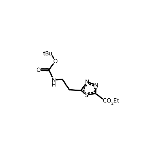 CCOC(=O)c1nnc(CCNC(=O)OC(C)(C)C)s1